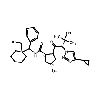 CC(C)(C)[C@@H](C(=O)N1C[C@H](O)C[C@H]1C(=O)NC(c1ccccc1)C1(CO)CCCCC1)n1cc(C2CC2)nn1